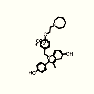 CC(=O)O.CC1=C2CC(O)=CC=C2N(Cc2ccc(OCCN3CCCCCC3)cc2)C1c1ccc(O)cc1